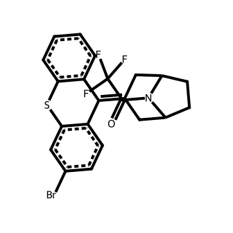 O=C(N1C2CCC1CC(=C1c3ccccc3Sc3cc(Br)ccc31)C2)C(F)(F)F